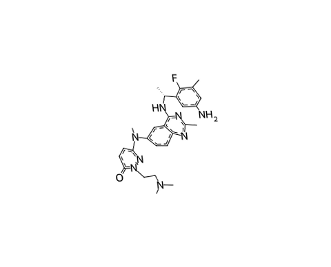 Cc1nc(N[C@H](C)c2cc(N)cc(C)c2F)c2cc(N(C)c3ccc(=O)n(CCN(C)C)n3)ccc2n1